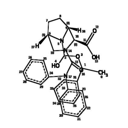 CC(OC(O)N1[C@H]2CC[C@@H]1[C@@H](C(=O)O)N(C(=O)N(c1ccccc1)c1ccccc1)C2)c1ccccc1